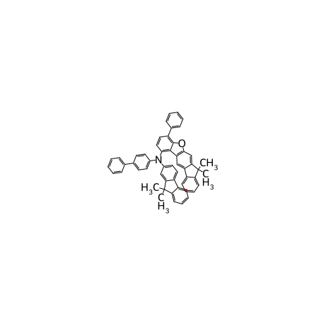 CC1(C)c2ccccc2-c2ccc(N(c3ccc(-c4ccccc4)cc3)c3ccc(-c4ccccc4)c4oc5cc6c(cc5c34)-c3ccccc3C6(C)C)cc21